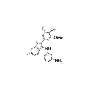 COc1cc(-c2nc3cc(C)ccn3c2Nc2cccc(N)c2)cc(F)c1O